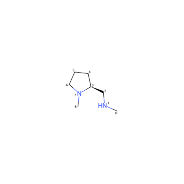 CNC[C@@H]1CCCN1C